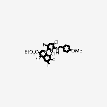 CCOC(=O)c1cn(-c2nc(NCc3ccc(OC)cc3)c(Cl)cc2F)c2c(Cl)c(F)c(F)cc2c1=O